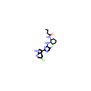 CCCC(=O)N[C@H]1CCCC[C@H]1Nc1nc(-c2c[nH]c3ncc(Cl)cc23)ncc1F